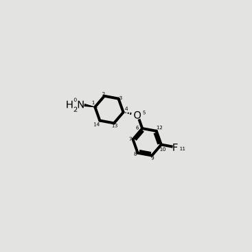 N[C@H]1CC[C@H](Oc2cccc(F)c2)CC1